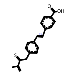 C=C(C)C(=S)Cc1ccc(/C=C/c2ccc(C(=O)O)cc2)cc1